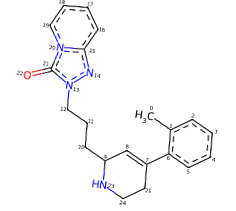 Cc1ccccc1C1=CC(CCCn2nc3ccccn3c2=O)NCC1